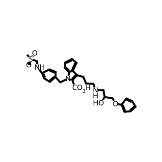 CS(=O)(=O)CNc1ccc(Cn2c(C(=O)O)c(CCCNCC(O)COc3ccccc3)c3ccccc32)cc1